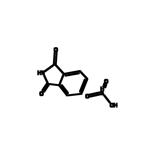 O=C1NC(=O)c2ccccc21.O=[SH](=O)O